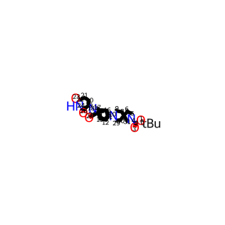 CC(C)(C)OC(=O)N1CCC2(CCN(c3ccc4c(c3)CN(C3CCC(=O)NC3=O)C4=O)CC2)C1